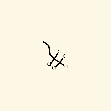 CCCC(Cl)(Cl)C(Cl)(Cl)Cl